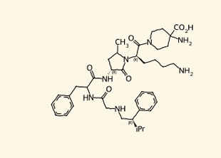 CC(C)[C@@H](CNCC(=O)NC(Cc1ccccc1)C(=O)N[C@@H]1CC(C)N([C@H](CCCCN)C(=O)N2CCC(N)(C(=O)O)CC2)C1=O)c1ccccc1